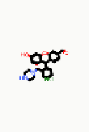 Cl.O=Cc1ccc2c(c1)Oc1cc(O)ccc1C2c1ccccc1C(=O)N1CCNCC1